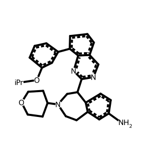 CC(C)Oc1cccc(-c2cccc3cnc(C4CN(C5CCOCC5)CCc5cc(N)ccc54)nc23)c1